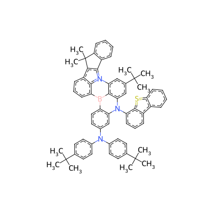 CC(C)(C)c1ccc(N(c2ccc(C(C)(C)C)cc2)c2ccc3c(c2)N(c2cccc4c2sc2ccccc24)c2cc(C(C)(C)C)cc4c2B3c2cccc3c5c(n-4c23)-c2ccccc2C5(C)C)cc1